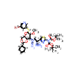 COC1C(Sc2cncc(Br)c2)OC2COC(c3ccccc3)OC2C1N(N)/C=C(\N)c1csc(N(C(=O)OC(C)(C)C)C(=O)OC(C)(C)C)n1